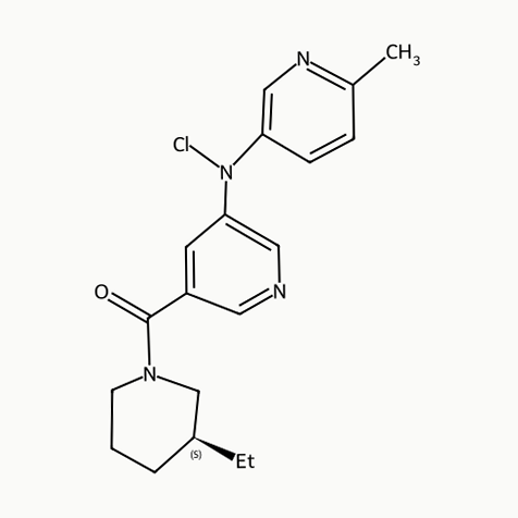 CC[C@H]1CCCN(C(=O)c2cncc(N(Cl)c3ccc(C)nc3)c2)C1